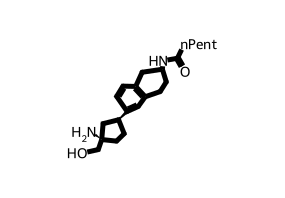 CCCCCC(=O)NC1CCc2cc([C@H]3CC[C@@](N)(CO)C3)ccc2C1